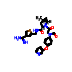 C[C@@]12C[C@@H]1N(C(=O)CN(C=O)c1ccc(Oc3cccnc3)cc1)[C@H](C(=O)NCc1cc(C(=N)N)cs1)C2